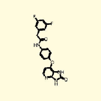 O=C(Cc1cc(F)cc(F)c1)Nc1ccc(Oc2ccnc3[nH]c(=O)[nH]c23)cc1